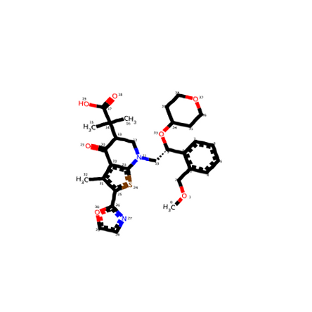 COCc1ccccc1[C@H](CN1CC(C(C)(C)C(=O)O)C(=O)c2c1sc(-c1ncco1)c2C)OC1CCOCC1